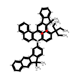 CCC(CC)(CC)c1ccc(N(c2ccc3c(c2)-c2cc4ccccc4cc2C3(C)C)c2ccc3ccccc3c2-c2ccc3c(c2)-c2ccccc2C3(C)C)cc1